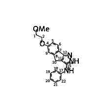 COCCOc1ccc2c(c1)Cc1c-2n[nH]c1Nc1ccccc1